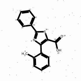 Cc1ccccc1-c1nc(-c2ccccc2)sc1C(=O)O